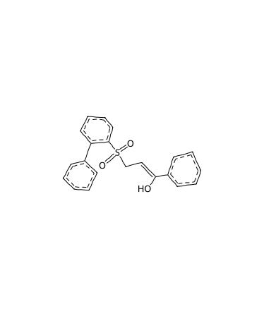 O=S(=O)(CC=C(O)c1ccccc1)c1ccccc1-c1ccccc1